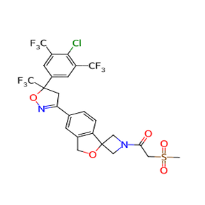 CS(=O)(=O)CC(=O)N1CC2(C1)OCc1cc(C3=NOC(c4cc(C(F)(F)F)c(Cl)c(C(F)(F)F)c4)(C(F)(F)F)C3)ccc12